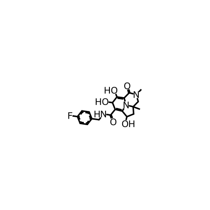 CN1CC2(C)CC(O)C3=C(C(=O)NCc4ccc(F)cc4)C(O)C(O)=C(C1=O)N32